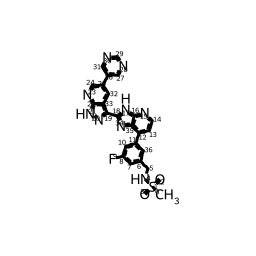 CS(=O)(=O)NCc1cc(F)cc(-c2ccnc3[nH]c(-c4n[nH]c5ncc(-c6cncnc6)cc45)nc23)c1